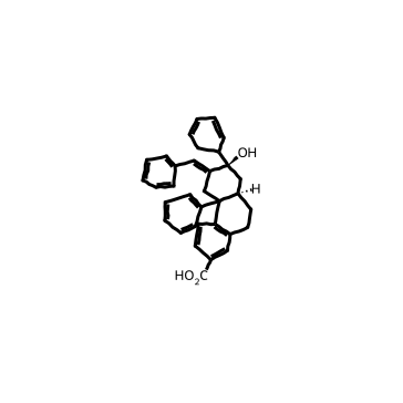 O=C(O)c1ccc2c(c1)CC[C@@H]1C[C@@](O)(C3C=CC=CC3)/C(=C/c3ccccc3)CC21c1ccccc1